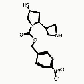 O=C(OCc1ccc([N+](=O)[O-])cc1)N1C[C@@H](S)C[C@H]1C1CNC1